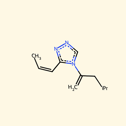 C=C(CC(C)C)n1cnnc1/C=C\C